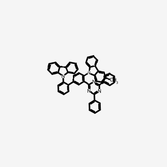 Cc1ccc2c(c1)c1ccccc1n2-c1ccc(-c2ccccc2-n2c3ccccc3c3ccccc32)cc1-c1nc(-c2ccccc2)nc(-c2ccccc2)n1